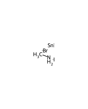 CN.[Br].[I].[Sn]